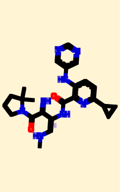 CN/C=C(/NC(=O)c1nc(C2CC2)ccc1Nc1cncnc1)C(=N)C(=O)N1CCCC1(C)C